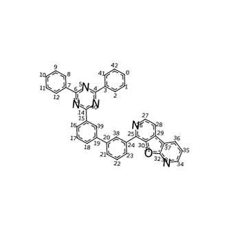 c1ccc(-c2nc(-c3ccccc3)nc(-c3cccc(-c4cccc(-c5nccc6c5oc5ncccc56)c4)c3)n2)cc1